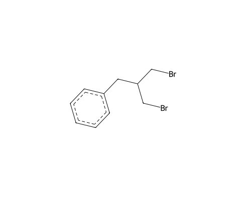 BrCC(CBr)Cc1ccccc1